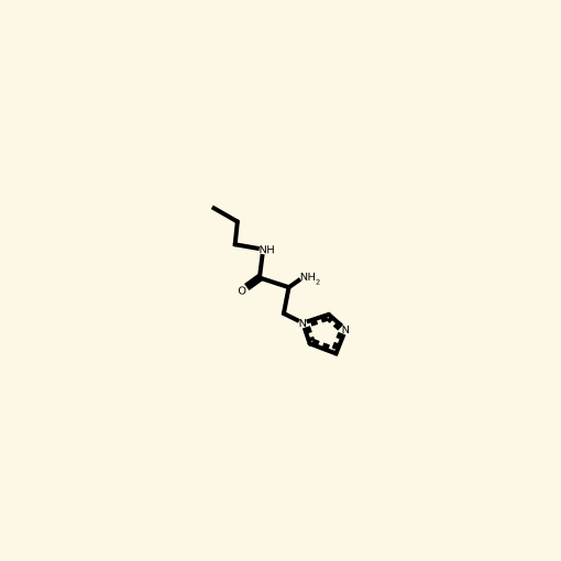 CCCNC(=O)C(N)Cn1ccnc1